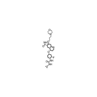 NC(=O)c1cc2c(Oc3ccc(NC(=O)NC4CC4)c(F)c3)ccnc2cc1OCCCN1CCOCC1